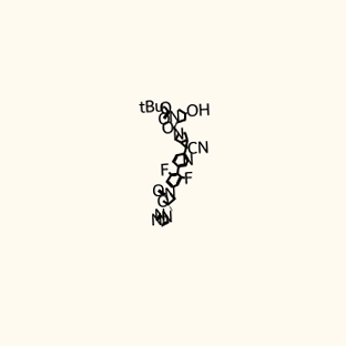 CC(C)(C)OC(=O)N1C[C@H](O)C[C@H]1C(=O)N1CC2C(C1)C2(C#N)c1ccc(-c2c(F)cc(N3C[C@H](Cn4ccnn4)OC3=O)cc2F)cn1